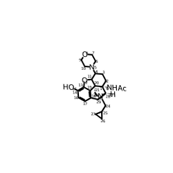 CC(=O)N[C@@]12CCC(N3CCOCC3)C3Oc4c(O)ccc5c4[C@@]31CCN(CC1CC1)[C@@H]2C5